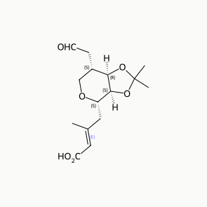 C/C(=C\C(=O)O)C[C@@H]1OC[C@H](CC=O)[C@H]2OC(C)(C)O[C@H]21